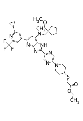 CCOC(=O)CSC1CCN(c2cnc(-c3nc4nc(-c5cc(C6CC6)nc(C(F)(F)F)c5)cc(N(C)CC5(COC)CCCC5)c4[nH]3)cn2)CC1